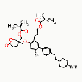 C=C(C)C(=O)OCCCc1cc(-c2ccc(CCC3CCC(CCC)CC3)cc2)c(CC)cc1OCC1(COC(=O)C(=C)C)CCC(=O)OC1